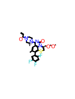 C=CC(=O)N1CCN(c2nc(=O)n3c4c(c(-c5cc(F)c(F)cc5F)c(C)cc24)SC[C@@H]3COCOC)[C@@H](C)C1